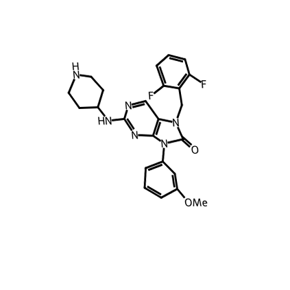 COc1cccc(-n2c(=O)n(Cc3c(F)cccc3F)c3cnc(NC4CCNCC4)nc32)c1